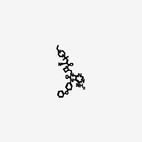 CCN1CCN(C(C)(C)C=C(C#N)C(=O)N2CCC2Cn2c(=O)n(-c3ccc(Oc4ccccc4)cc3)c3c(N)ncnc32)CC1